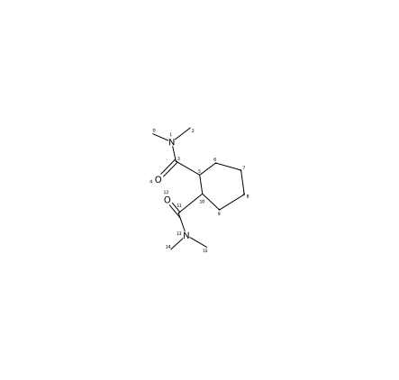 CN(C)C(=O)C1CCCCC1C(=O)N(C)C